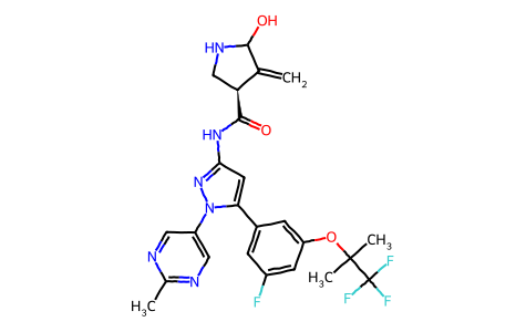 C=C1C(O)NC[C@@H]1C(=O)Nc1cc(-c2cc(F)cc(OC(C)(C)C(F)(F)F)c2)n(-c2cnc(C)nc2)n1